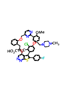 COc1ccccc1-c1nccc(COc2ccccc2CC(Oc2cnnc3sc(-c4ccc(F)cc4)c(-c4ccc(OCCN5CCN(C)CC5)c(Cl)c4C)c23)C(=O)O)n1